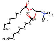 CCCCCCCCCCCCCCCCCC(=O)OCC(CN(C)C)OC(=O)CCCCCCCCCCCCCCCCC